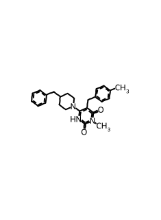 Cc1ccc(Cc2c(N3CCC(Cc4ccccc4)CC3)[nH]c(=O)n(C)c2=O)cc1